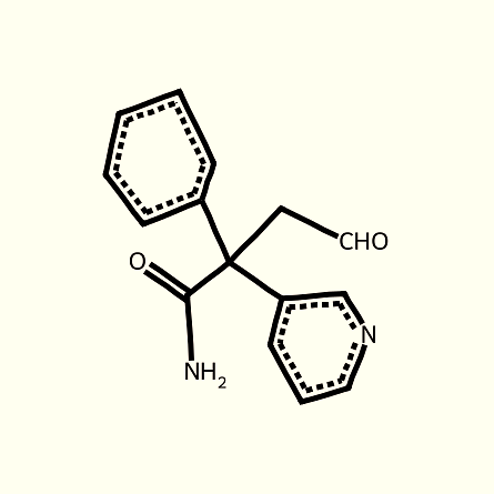 NC(=O)C(CC=O)(c1ccccc1)c1cccnc1